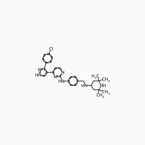 CC1(C)CC(NCc2ccc(Nc3nccc(-c4c[nH]nc4-c4ccc(Cl)cc4)n3)cc2)CC(C)(C)N1